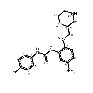 Cc1cnc(NC(=O)Nc2cc(N)ccc2OC[C@@H]2CNCCO2)cn1